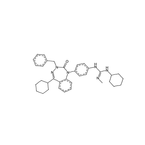 CN=C(Nc1ccc(N2C(=O)N(Cc3ccccc3)N=C(C3CCCCC3)c3ccccc32)cc1)NC1CCCCC1